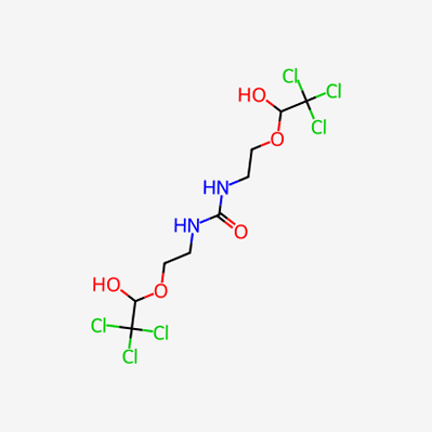 O=C(NCCOC(O)C(Cl)(Cl)Cl)NCCOC(O)C(Cl)(Cl)Cl